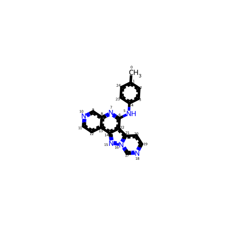 Cc1ccc(Nc2nc3cnccc3c3nn4cnccc4c23)cc1